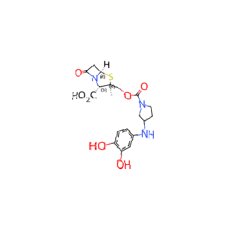 C[C@@]1(COC(=O)N2CCC(Nc3ccc(O)c(O)c3)C2)S[C@@H]2CC(=O)N2[C@H]1C(=O)O